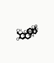 C=CC1C[C@@]2(C(=O)OCC)C(=CC1=O)CC[C@@H]1[C@@H]2CC[C@]2(C)C(=O)CC[C@@H]12